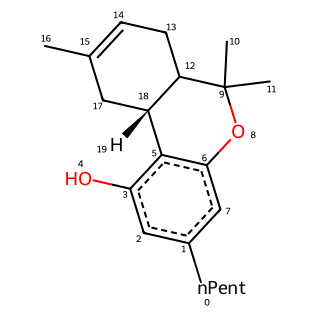 CCCCCc1cc(O)c2c(c1)OC(C)(C)C1CC=C(C)C[C@@H]21